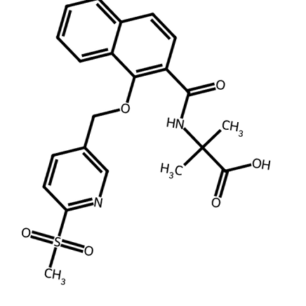 CC(C)(NC(=O)c1ccc2ccccc2c1OCc1ccc(S(C)(=O)=O)nc1)C(=O)O